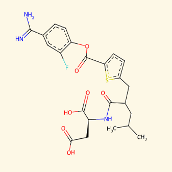 CC(C)CC(Cc1ccc(C(=O)Oc2ccc(C(=N)N)cc2F)s1)C(=O)N[C@@H](CC(=O)O)C(=O)O